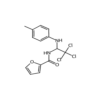 Cc1ccc(NC(NC(=O)c2ccco2)C(Cl)(Cl)Cl)cc1